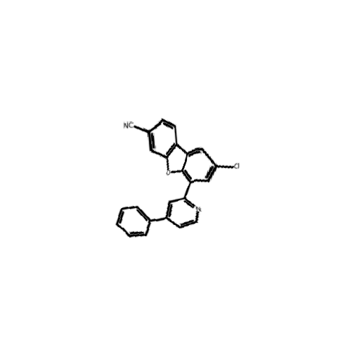 N#Cc1ccc2c(c1)oc1c(-c3cc(-c4ccccc4)ccn3)cc(Cl)cc12